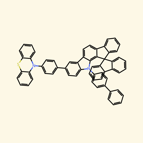 c1ccc(-c2ccc(-n3c4ccc(-c5ccc(N6c7ccccc7Sc7ccccc76)cc5)cc4c4ccc5c(c43)C3(c4ccccc4-c4ccccc43)c3ccccc3-5)cc2)cc1